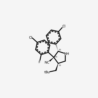 CC(C)(C)C[C@@H]1CN[C@@H](c2cccc(Cl)c2)[C@@]1(C#N)c1ccc(Cl)cc1F